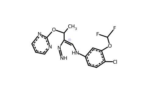 CC(Oc1ncccn1)/C(=C/Nc1ccc(Cl)c(OC(F)F)c1)N=N